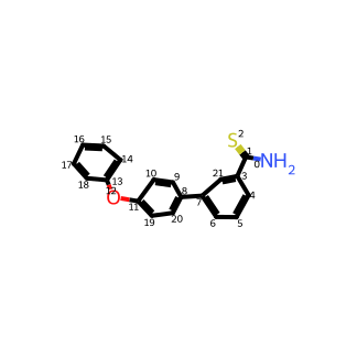 NC(=S)c1cccc(-c2ccc(Oc3ccccc3)cc2)c1